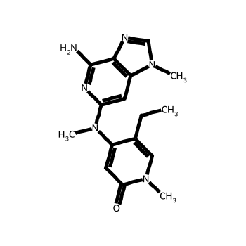 CCc1cn(C)c(=O)cc1N(C)c1cc2c(ncn2C)c(N)n1